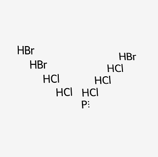 Br.Br.Br.Cl.Cl.Cl.Cl.Cl.[P]